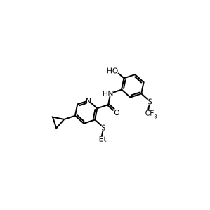 CCSc1cc(C2CC2)cnc1C(=O)Nc1cc(SC(F)(F)F)ccc1O